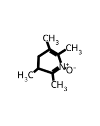 CC1=C(C)[N+]([O-])=C(C)C(C)C1